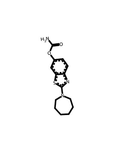 NC(=O)Oc1ccc2nc(N3CCCCCC3)sc2c1